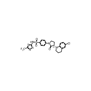 O=C1[C@@H](N2CCCc3cc(Cl)ccc32)CCN1c1ccc(S(=O)(=O)Nc2nnc(C(F)(F)F)s2)cc1